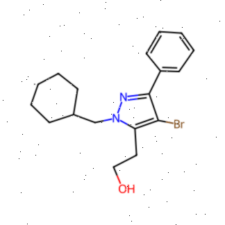 OCCc1c(Br)c(-c2ccccc2)nn1CC1CC[CH]CC1